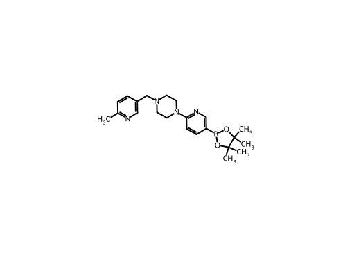 Cc1ccc(CN2CCN(c3ccc(B4OC(C)(C)C(C)(C)O4)cn3)CC2)cn1